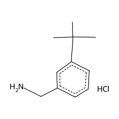 CC(C)(C)c1cccc(CN)c1.Cl